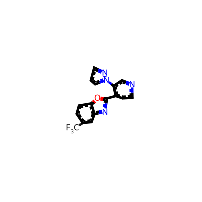 FC(F)(F)c1ccc2oc(-c3ccncc3-n3cccn3)nc2c1